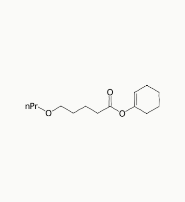 CCCOCCCCC(=O)OC1=CCCCC1